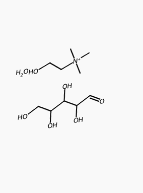 C[N+](C)(C)CCO.O.O=CC(O)C(O)C(O)CO